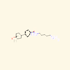 COC12CCC(c3ccc(C(=O)N[CH]CCCCN)cc3)(CC1)CC2